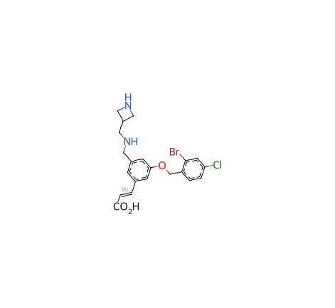 O=C(O)/C=C/c1cc(CNCC2CNC2)cc(OCc2ccc(Cl)cc2Br)c1